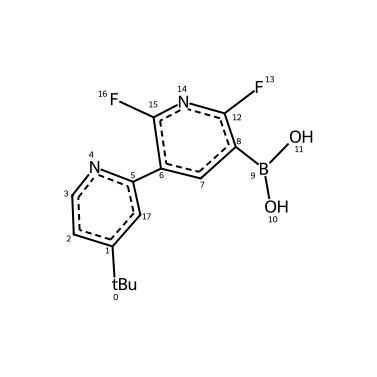 CC(C)(C)c1ccnc(-c2cc(B(O)O)c(F)nc2F)c1